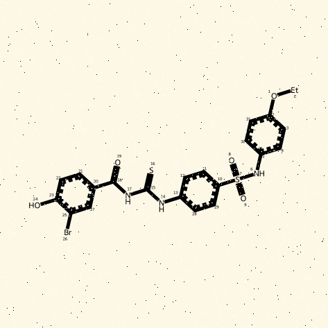 CCOc1ccc(NS(=O)(=O)c2ccc(NC(=S)NC(=O)c3ccc(O)c(Br)c3)cc2)cc1